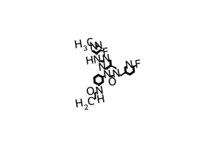 C=CC(=O)Nc1cccc(N2C(=O)N(Cc3ccc(F)nc3)Cc3cnc(Nc4cn(C)nc4F)nc32)c1